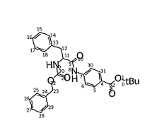 CC(C)(C)OC(=O)c1ccc(NC(=O)C(Cc2ccccc2)NC(=O)OCc2ccccc2)cc1